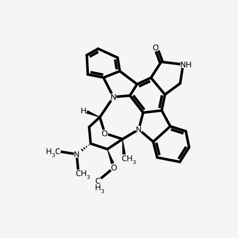 CO[C@H]1[C@H](N(C)C)C[C@H]2O[C@]1(C)n1c3ccccc3c3c4c(c5c6ccccc6n2c5c31)C(=O)NC4